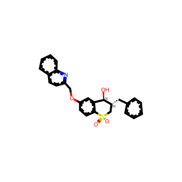 O=S1(=O)C[C@@H](Cc2ccccc2)[C@H](O)c2cc(OCc3ccc4ccccc4n3)ccc21